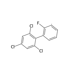 Fc1[c]cccc1-c1c(Cl)cc(Cl)cc1Cl